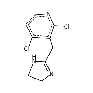 Clc1ccnc(Cl)c1CC1=NCCN1